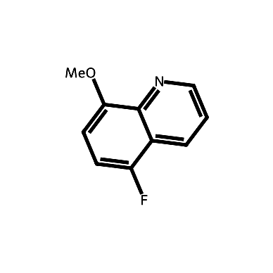 COc1ccc(F)c2cccnc12